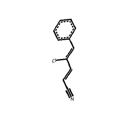 N#CC=CC(Cl)=Cc1ccccc1